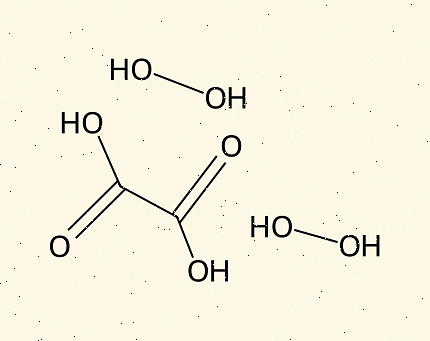 O=C(O)C(=O)O.OO.OO